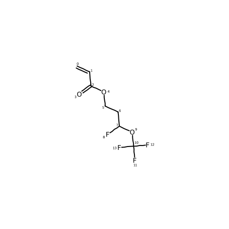 C=CC(=O)OCCC(F)OC(F)(F)F